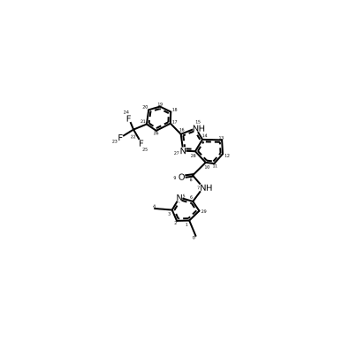 Cc1cc(C)nc(NC(=O)c2cccc3[nH]c(-c4cccc(C(F)(F)F)c4)nc23)c1